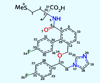 CSCC[C@](C)(NC(=O)c1cccc(COC(Cn2ccnc2)c2ccc(F)cc2)c1-c1ccc(F)cc1)C(=O)O